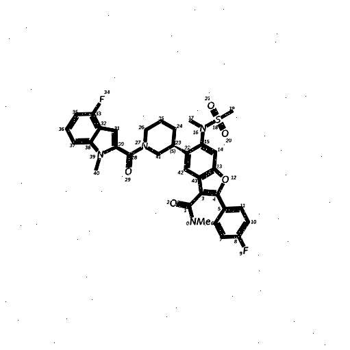 CNC(=O)c1c(-c2ccc(F)cc2)oc2cc(N(C)S(C)(=O)=O)c([C@@H]3CCCN(C(=O)c4cc5c(F)cccc5n4C)C3)cc12